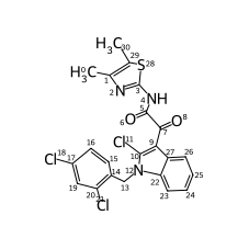 Cc1nc(NC(=O)C(=O)c2c(Cl)n(Cc3ccc(Cl)cc3Cl)c3ccccc23)sc1C